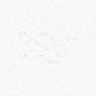 CCCCCCCCc1cc2c([N+](=O)[O-])cc([N+](=O)[O-])c(C=O)c2cc1-c1cccc(OCC)c1Br